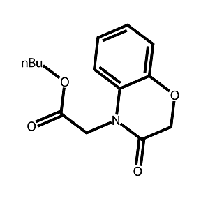 CCCCOC(=O)CN1C(=O)COc2ccccc21